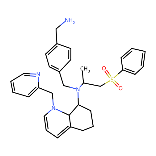 CC(CS(=O)(=O)c1ccccc1)N(Cc1ccc(CN)cc1)C1CCCC2=CC=CN(Cc3ccccn3)C21